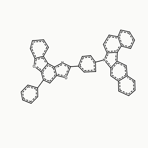 c1ccc(-c2cc3oc(-c4ccc(-n5c6cc7ccccc7cc6c6c7ccccc7ccc65)cc4)nc3c3c2oc2ccccc23)cc1